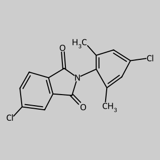 Cc1cc(Cl)cc(C)c1N1C(=O)c2ccc(Cl)cc2C1=O